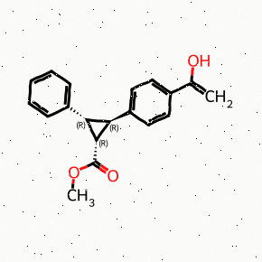 C=C(O)c1ccc([C@H]2[C@H](C(=O)OC)[C@@H]2c2ccccc2)cc1